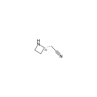 N#CC[C@@H]1CCN1